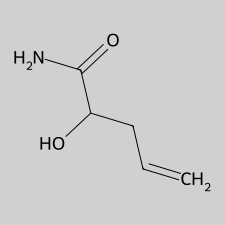 C=CCC(O)C(N)=O